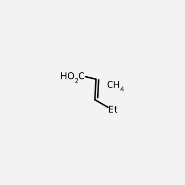 C.CCC=CC(=O)O